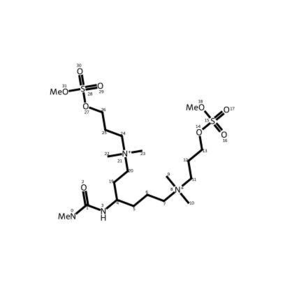 CNC(=O)NC(CCC[N+](C)(C)CCCOS(=O)(=O)OC)CC[N+](C)(C)CCCOS(=O)(=O)OC